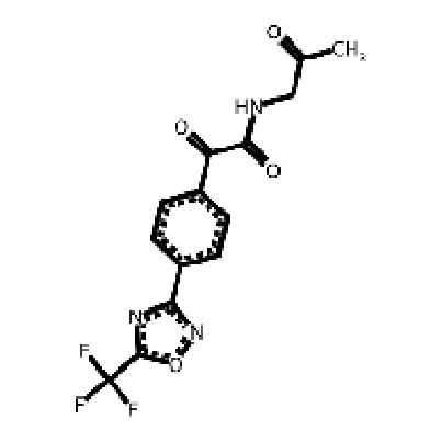 CC(=O)CNC(=O)C(=O)c1ccc(-c2noc(C(F)(F)F)n2)cc1